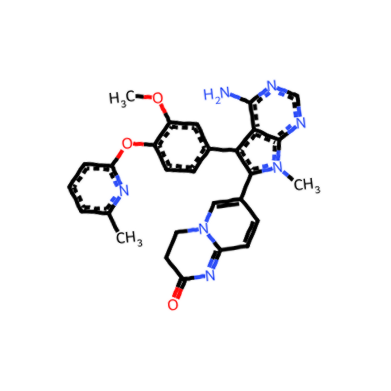 COc1cc(-c2c(C3=CN4CCC(=O)N=C4C=C3)n(C)c3ncnc(N)c23)ccc1Oc1cccc(C)n1